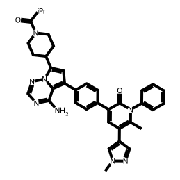 Cc1c(-c2cnn(C)c2)cc(-c2ccc(-c3cc(C4CCN(C(=O)C(C)C)CC4)n4ncnc(N)c34)cc2)c(=O)n1-c1ccccc1